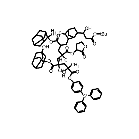 CC1C2CC(C(O)CC(=O)OC(C)(C)C)C(C2)C1CC(CC(C)(CC(C)(CC(C)(C)C(=O)Oc1ccc([S+](c2ccccc2)c2ccccc2)cc1)C(=O)OC12CC3CC(CC(O)(C3)C1)C2)C(=O)OC1CCOC1=O)C(=O)OC1(C)C2CC3CC(C2)CC1C3